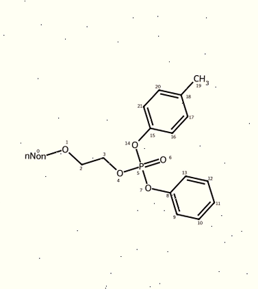 CCCCCCCCCOCCOP(=O)(Oc1ccccc1)Oc1ccc(C)cc1